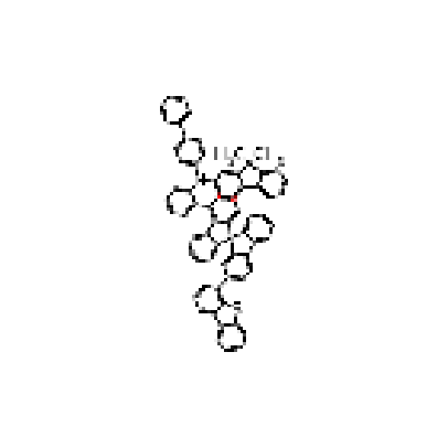 CC1(C)c2ccccc2-c2ccc(N(c3ccc(-c4ccccc4)cc3)c3ccccc3-c3cccc4c3-c3ccccc3C43c4ccccc4-c4ccc(-c5cccc6c5sc5ccccc56)cc43)cc21